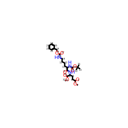 COC(=O)CCC(NC(=O)C(CCCCNC(=O)OCc1ccccc1)NC(=O)OC(C)(C)C)C(=O)OC